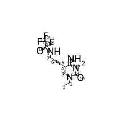 CCn1cc(C#CCNC(=O)C(F)(F)F)c(N)nc1=O